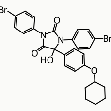 O=C1N(c2ccc(Br)cc2)C(=O)C(O)(c2ccc(OC3CCCCC3)cc2)N1c1ccc(Br)cc1